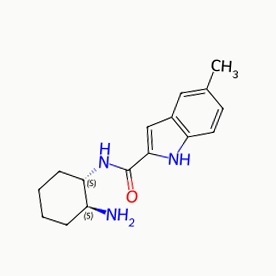 Cc1ccc2[nH]c(C(=O)N[C@H]3CCCC[C@@H]3N)cc2c1